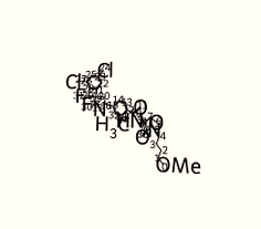 COCCCCN1OC[C@@H](NC(=O)c2ccc(C3=NCC4(C3)c3cc(Cl)cc(Cl)c3C4(F)F)cc2C)C1=O